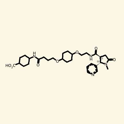 CN1C(=O)C[C@H](C(=O)NCCOC2CCC(OCCCC(=O)NC3CCC(C(=O)O)CC3)CC2)[C@H]1c1cccnc1